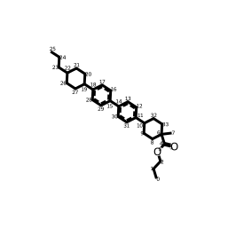 CCCOC(=O)C1(C)CCC(c2ccc(-c3ccc(C4CCC(CCC)CC4)cc3)cc2)CC1